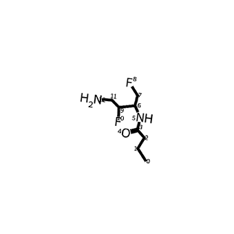 CCCC(=O)NC(CF)C(F)CN